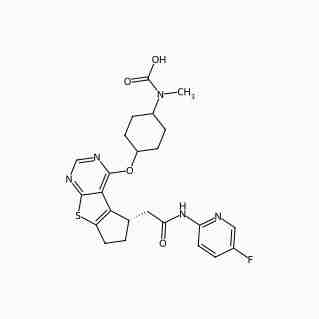 CN(C(=O)O)C1CCC(Oc2ncnc3sc4c(c23)[C@H](CC(=O)Nc2ccc(F)cn2)CC4)CC1